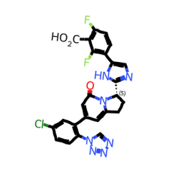 O=C(O)c1c(F)ccc(-c2cnc([C@@H]3CCc4cc(-c5cc(Cl)ccc5-n5cnnn5)cc(=O)n43)[nH]2)c1F